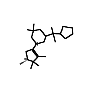 CC1=C(N2CC(C(C)(C)C3CCCC3)CC(C)(C)C2)C[C@@H](C)C1(C)C